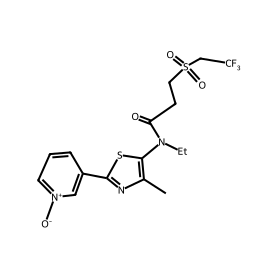 CCN(C(=O)CCS(=O)(=O)CC(F)(F)F)c1sc(-c2ccc[n+]([O-])c2)nc1C